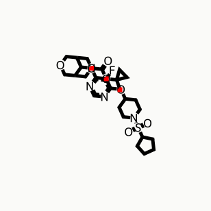 CC1(OC(=O)N2CC3COCC(C2)C3Oc2ncnc(OC3CCN(S(=O)(=O)C4CCCC4)CC3)c2F)CC1